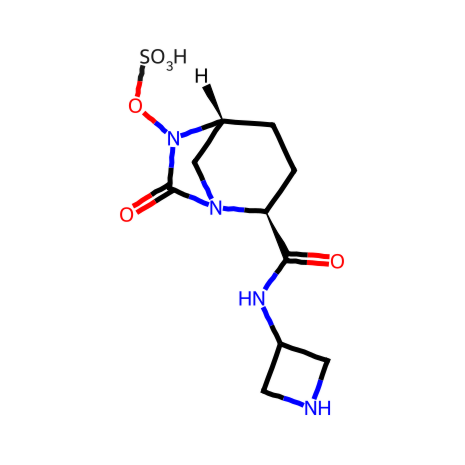 O=C(NC1CNC1)[C@@H]1CC[C@@H]2CN1C(=O)N2OS(=O)(=O)O